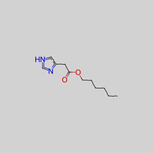 CCCCCCOC(=O)Cc1c[nH]cn1